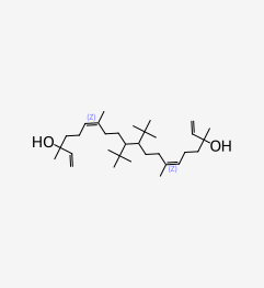 C=CC(C)(O)CC/C=C(/C)CCC(C(CC/C(C)=C\CCC(C)(O)C=C)C(C)(C)C)C(C)(C)C